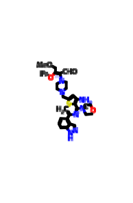 C=C(/N=C(\c1sc(CN2CCN(/C(C=O)=C(/COC)OC(C)C)CC2)cc1N)N1CCOCC1)c1cccc2[nH]ncc12